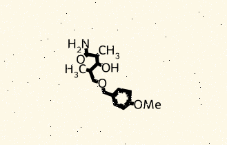 COc1ccc(COCC(C)C(O)C(C)C(N)=O)cc1